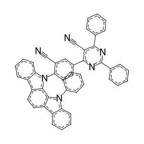 N#Cc1cc(-c2nc(-c3ccccc3)nc(-c3ccccc3)c2C#N)ccc1-n1c2ccccc2c2ccc3c4ccccc4n(-c4ccccc4)c3c21